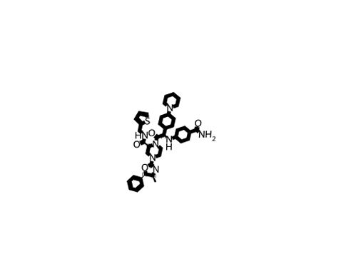 C[C@@H]1N=C(N2CCN(C(=O)[C@H](NC3CCC(C(N)=O)CC3)C3CCC(N4CCCCC4)CC3)[C@H](C(=O)NCc3cccs3)C2)O[C@H]1c1ccccc1